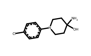 NC1(O)CCN(c2ccc(Cl)cc2)CC1